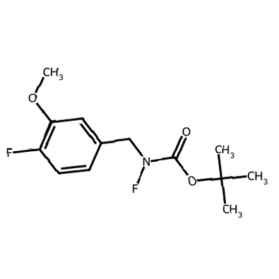 COc1cc(CN(F)C(=O)OC(C)(C)C)ccc1F